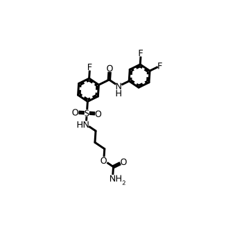 NC(=O)OCCCNS(=O)(=O)c1ccc(F)c(C(=O)Nc2ccc(F)c(F)c2)c1